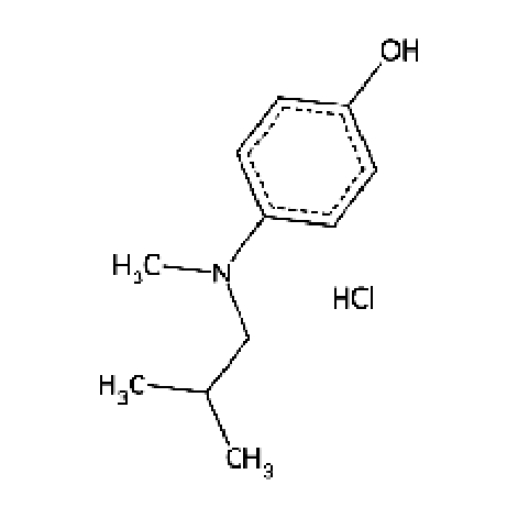 CC(C)CN(C)c1ccc(O)cc1.Cl